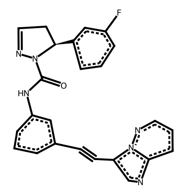 O=C(Nc1cccc(C#Cc2cnc3cccnn23)c1)N1N=CC[C@H]1c1cccc(F)c1